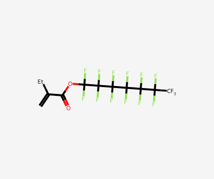 C=C(CC)C(=O)OC(F)(F)C(F)(F)C(F)(F)C(F)(F)C(F)(F)C(F)(F)C(F)(F)F